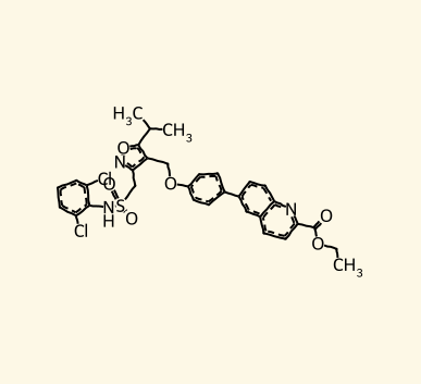 CCOC(=O)c1ccc2cc(-c3ccc(OCc4c(CS(=O)(=O)Nc5c(Cl)cccc5Cl)noc4C(C)C)cc3)ccc2n1